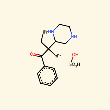 CCCC(CC(C)C)(C(=O)c1ccccc1)C1CNCCN1.O=S(=O)(O)O